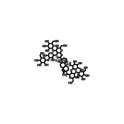 C=C1C[C@@]23CC[C@H]4[C@@](C)(CCC[C@@]4(C)C(=O)OC4OC(CO)C(O)C(OC5OC(CO)C(O)C(O)C5O)C4OC4OCC(O)C(OC5OC(CO)C(O)C(O)C5O)C4O)[C@@H]2CC[C@]1(OC1OC(CO)C(O)C(OC2OC(CO)C(O)C(O)C2O)C1OC1OC(CO)C(O)C(O)C1O)C3